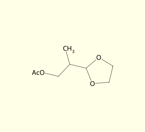 CC(=O)OCC(C)C1OCCO1